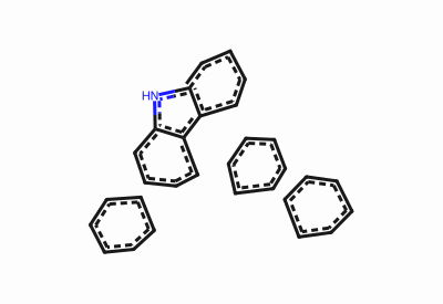 c1ccc2c(c1)[nH]c1ccccc12.c1ccccc1.c1ccccc1.c1ccccc1